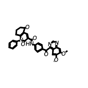 COc1cc2ncnc(C(=O)c3ccc(NC(=O)c4cc5c(n(-c6ccccc6)c4=O)CCCC5=O)cc3)c2cc1OC